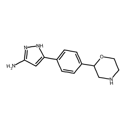 Nc1cc(-c2ccc(C3CNCCO3)cc2)[nH]n1